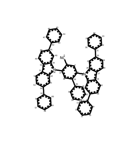 N#Cc1cc(-n2c3cc(-c4ccccc4)ccc3c3ccc(-c4ccccc4)cc32)c(-c2ccncc2)cc1-n1c2cc(-c3ccccc3)ccc2c2ccc(-c3ccccc3)cc21